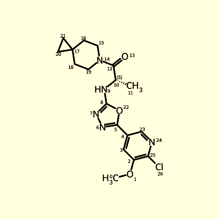 COc1cc(-c2nnc(N[C@@H](C)C(=O)N3CCC4(CC3)CC4)o2)cnc1Cl